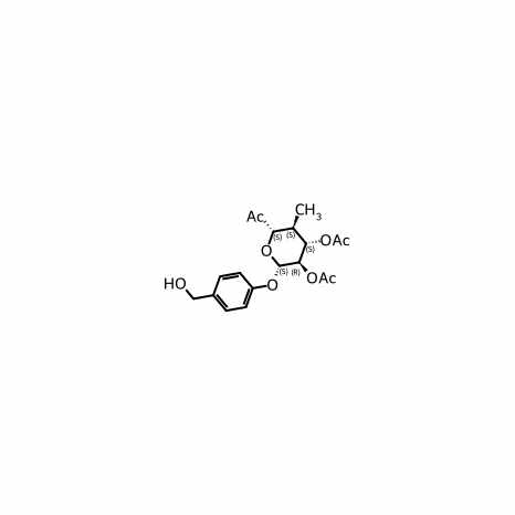 CC(=O)O[C@H]1[C@H](Oc2ccc(CO)cc2)O[C@H](C(C)=O)[C@@H](C)[C@@H]1OC(C)=O